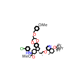 COC(=O)C1(Nc2cccc(Cl)c2)CCC2(CC1)c1cc3c(cc1C[C@@H]2C[C@@H](C)COc1ccnc2c1[C@H](C)CC[C@@H]2O[Si](C(C)C)(C(C)C)C(C)C)OCC(COCc1ccc(OC)cc1)CO3